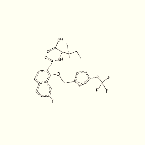 CCC(C)(C)C(NC(=O)c1ccc2ccc(F)cc2c1OCc1ccc(OC(F)(F)F)cc1)C(=O)O